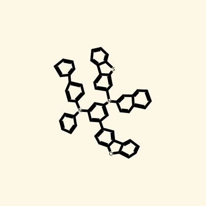 c1ccc(-c2ccc(N(c3ccccc3)c3cc(-c4ccc5oc6ccccc6c5c4)cc(N(c4ccc5ccccc5c4)c4ccc5c(c4)sc4ccccc45)c3)cc2)cc1